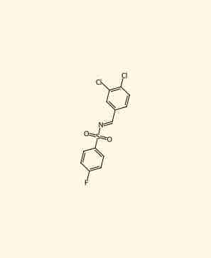 O=S(=O)(/N=C/c1ccc(Cl)c(Cl)c1)c1ccc(F)cc1